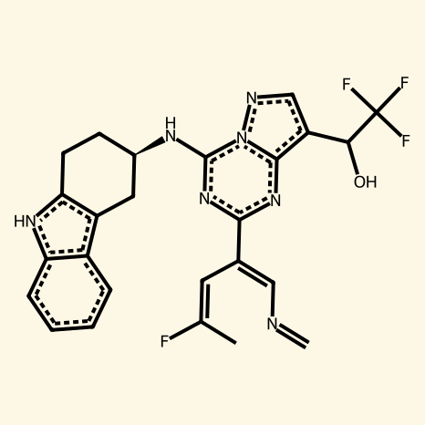 C=N/C=C(\C=C(/C)F)c1nc(N[C@@H]2CCc3[nH]c4ccccc4c3C2)n2ncc(C(O)C(F)(F)F)c2n1